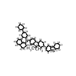 CC1(C)c2cc(-c3ccc4sc5ccccc5c4c3)ccc2-c2ccc(N(c3ccc(-c4ccccc4)cc3)c3cccc4ccccc34)cc21